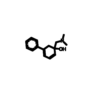 CN(C)CC1(O)C=CC=C(c2ccccc2)C1